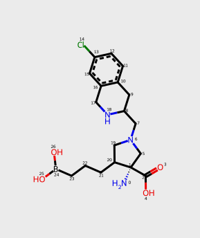 N[C@@]1(C(=O)O)CN(CC2Cc3ccc(Cl)cc3CN2)CC1CCCB(O)O